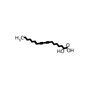 CCCCCC=CC#CC#CCCCCCC(O)C(=O)O